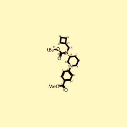 COC(=O)c1ccc(N2CCC[C@@H](N(CC3CCC3)C(=O)OC(C)(C)C)C2)cc1